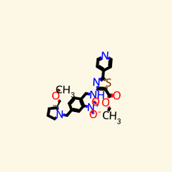 CCOC(=O)c1sc(-c2ccncc2)nc1NCc1ccc(CN2CCC[C@H]2COC)cc1[N+](=O)[O-]